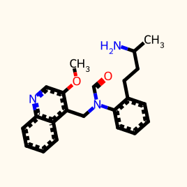 COc1cnc2ccccc2c1CN(C=O)c1ccccc1CCC(C)N